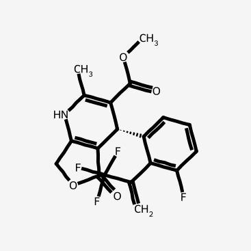 C=C(c1c(F)cccc1[C@H]1C(C(=O)OC)=C(C)NC2=C1C(=O)OC2)C(F)(F)F